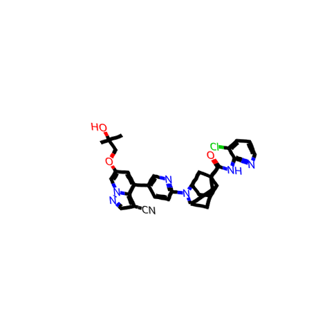 CC(C)(O)COc1cc(-c2ccc(N3C4CC5CC3CC(C(=O)Nc3ncccc3Cl)(C5)C4)nc2)c2c(C#N)cnn2c1